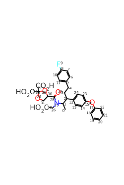 CC(C(CCc1ccc(F)cc1)c1ccc(Oc2ccccc2)cc1)N(CC(=O)O)C(=O)C1COC(C(=O)O)(C(=O)O)O1